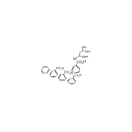 CCCC(O)CC(O)CC.O=C(O)c1ccccc1.O=C(O)c1ccccc1.O=C(O)c1ccccc1.O=C(O)c1ccccc1.c1ccccc1